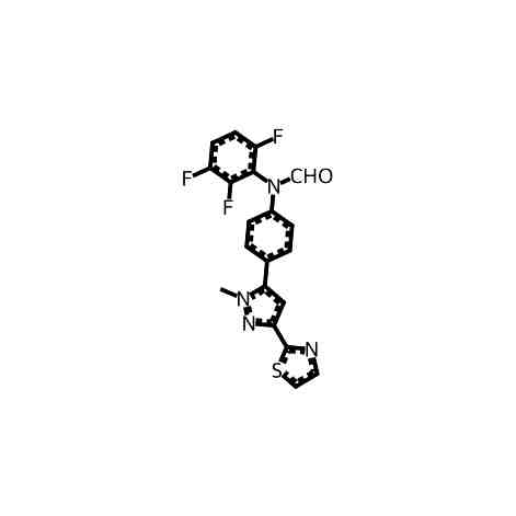 Cn1nc(-c2nccs2)cc1-c1ccc(N(C=O)c2c(F)ccc(F)c2F)cc1